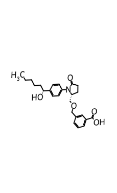 CCCCC[C@@H](O)c1ccc(N2C(=O)CC[C@@H]2COCc2cccc(C(=O)O)c2)cc1